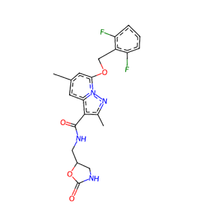 Cc1cc(OCc2c(F)cccc2F)n2nc(C)c(C(=O)NCC3CNC(=O)O3)c2c1